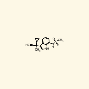 C#CC(C)(c1c[nH]c2c(NS(C)(=O)=O)cccc12)C1CC1